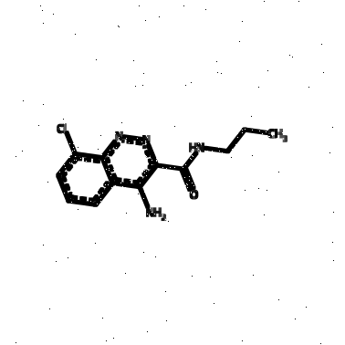 CCCNC(=O)c1nnc2c(Cl)cccc2c1N